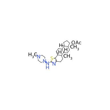 CC(=O)O[C@H]1CC[C@H]2[C@@H]3CC=C4c5sc(NN6CCN(C)CC6)nc5CC[C@]4(C)[C@H]3CC[C@]12C